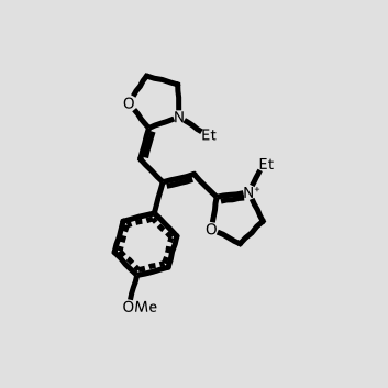 CCN1CCO/C1=C/C(=C/C1=[N+](CC)CCO1)c1ccc(OC)cc1